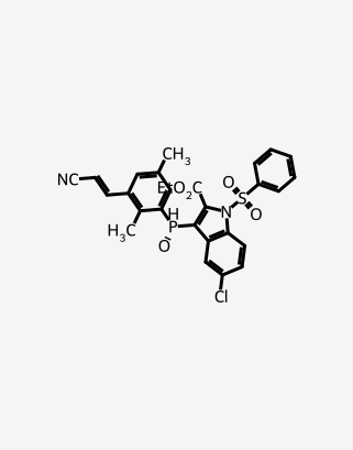 CCOC(=O)c1c([PH](=O)c2cc(C)cc(/C=C/C#N)c2C)c2cc(Cl)ccc2n1S(=O)(=O)c1ccccc1